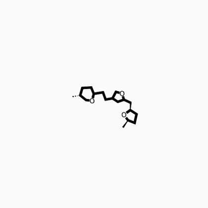 C[C@@H]1CCC(CCC2COC(C[C@H]3CC[C@@H](C)O3)C2)OC1